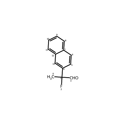 CC(F)(C=O)c1ccc2ccccc2c1